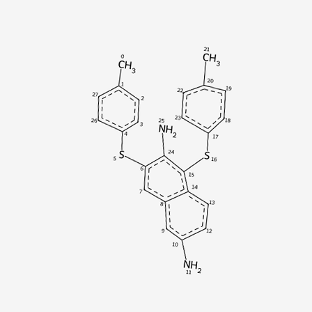 Cc1ccc(Sc2cc3cc(N)ccc3c(Sc3ccc(C)cc3)c2N)cc1